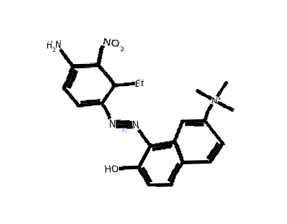 CCC1C(/N=N/c2c(O)ccc3ccc([N+](C)(C)C)cc23)=CC=C(N)C1[N+](=O)[O-]